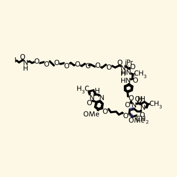 C=C/C(OC)=C(\C=C1/CC(=O)N2C=C(C)C[C@H]2[C@H](O)N1C(=O)OCc1ccc(NC(=O)[C@H](C)NC(=O)[C@@H](NC(=O)CCOCCOCCOCCOCCOCCOCCOCCOCCNC(=O)CI)C(C)C)cc1)OCCCCCOc1cc2c(cc1OC)C(=O)N1C=C(C)C[C@H]1C=N2